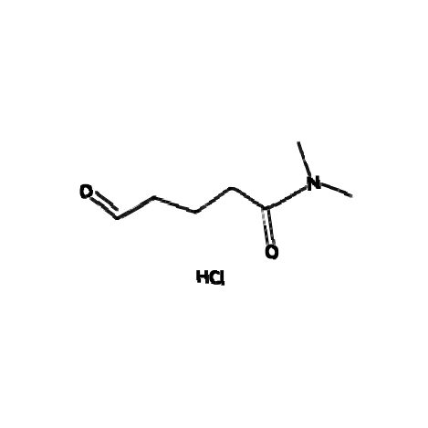 CN(C)C(=O)CCCC=O.Cl